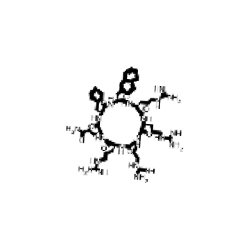 N=C(N)NCCC[C@@H]1NC(=O)[C@H](CCCNC(=N)N)NC(=O)[C@H](CCCNC(=N)N)NC(=O)[C@H](Cc2ccc3ccccc3c2)NC(=O)[C@H](Cc2ccccc2)NC(=O)[C@H](CCC(N)=O)NC(=O)[C@H](CCCNC(=N)N)NC1=O